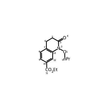 CCCON1C(=O)CCc2ccc(C(=O)OCC)cc21